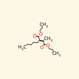 CCCCCC(C(=O)OCCC)=C(C)C(=O)OCCC